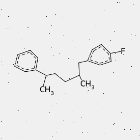 CC(CCC(C)c1ccccc1)Cc1ccc(F)cc1